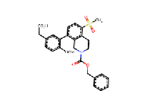 COc1ccc(CC(=O)O)cc1-c1ccc(S(C)(=O)=O)c2c1CN(C(=O)OCc1ccccc1)CC2